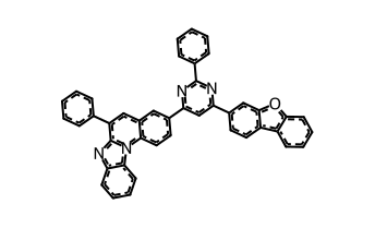 c1ccc(-c2nc(-c3ccc4c(c3)cc(-c3ccccc3)c3nc5ccccc5n34)cc(-c3ccc4c(c3)oc3ccccc34)n2)cc1